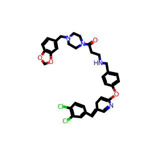 O=C(CCNCc1ccc(OC2=CCC(=Cc3ccc(Cl)c(Cl)c3)C=N2)cc1)N1CCN(Cc2ccc3c(c2)OCO3)CC1